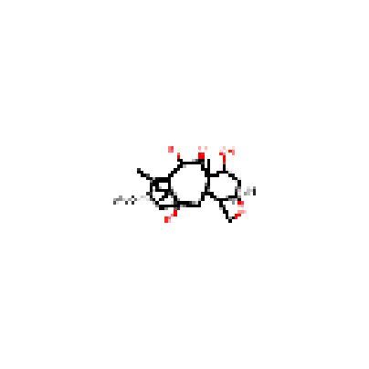 CO[C@H]1CC2(O)CC3C4CO[C@@H]4CC(O)C3(C)C(=O)C(O)C(=C1C)C2(C)C